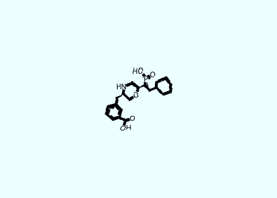 O=C(O)c1cccc(C[C@@H]2CO[C@H](C(CC3CCCCC3)[PH](=O)O)CN2)c1